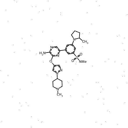 CNS(=O)(=O)c1cc(-c2cnc(N)c(Oc3cnn(C4CCN(C)CC4)c3)n2)cc(N2CCCC2C)c1